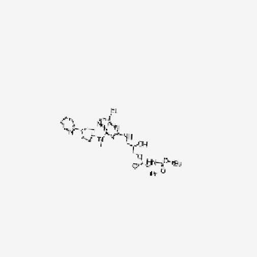 CCc1cnn2c(N(C)c3ccc(-c4ccccn4)cc3)nc(NC[C@@H](O)COC(=O)[C@H](NC(=O)OC(C)(C)C)C(C)C)nc12